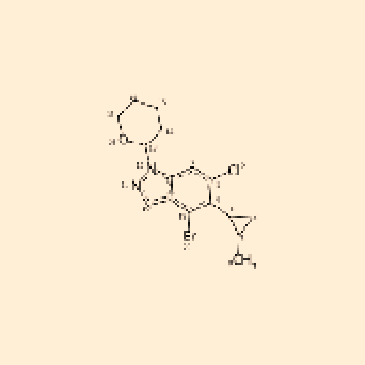 CC1CC1c1c(Cl)cc2c(cnn2C2CCCCO2)c1Br